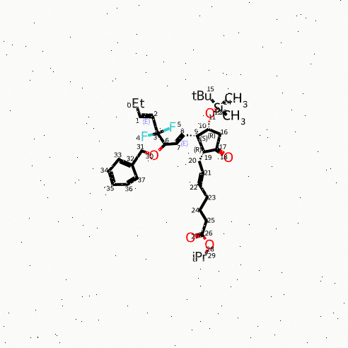 CC/C=C/C(F)(F)C(/C=C/[C@@H]1[C@H](O[Si](C)(C)C(C)(C)C)CC(=O)[C@@H]1CC=CCCCC(=O)OC(C)C)OCc1ccccc1